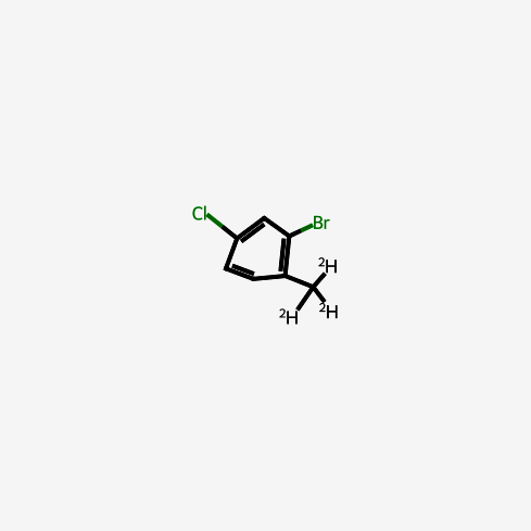 [2H]C([2H])([2H])c1ccc(Cl)cc1Br